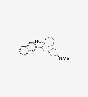 CN[C@@H]1CCN(CC(c2ccc3ccccc3c2)C2(O)CCCCC2)C1